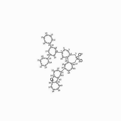 O=S1(=O)Cc2ccc(-c3cc(-c4ccccc4)cc(-c4ccccc4)c3)cc2-c2cc(-c3ccc4oc5ccccc5c4c3)ccc2C1